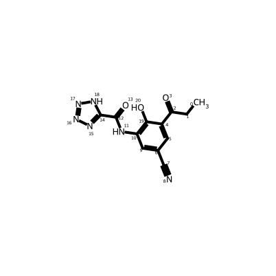 CCC(=O)c1cc(C#N)cc(NC(=O)c2nnn[nH]2)c1O